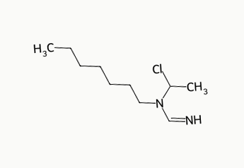 CCCCCCCN(C=N)C(C)Cl